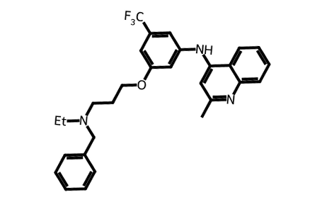 CCN(CCCOc1cc(Nc2cc(C)nc3ccccc23)cc(C(F)(F)F)c1)Cc1ccccc1